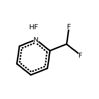 F.FC(F)c1ccccn1